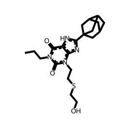 CCCn1c(=O)c2[nH]c(C34CC5CC(C3)C(C5)C4)nc2n(CCSCCO)c1=O